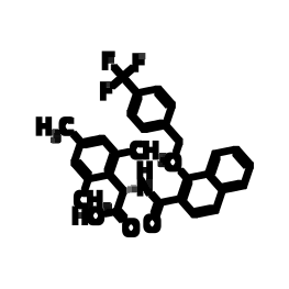 Cc1cc(C)c([C@H](NC(=O)c2ccc3ccccc3c2OCc2ccc(C(F)(F)F)cc2)C(=O)O)c(C)c1